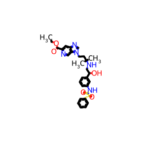 CCOC(=O)c1cc2ncn(CCC(C)(C)NCC(O)c3cccc(NS(=O)(=O)c4ccccc4)c3)c2cn1